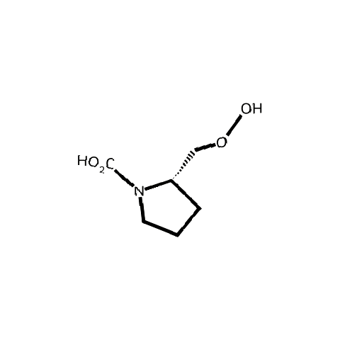 O=C(O)N1CCC[C@H]1COO